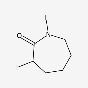 O=C1C(I)CCCCN1I